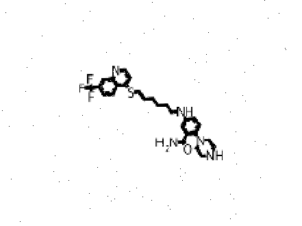 NC(=O)c1cc(NCCCCCCSc2ccnc3cc(C(F)(F)F)ccc23)ccc1N1CCNCC1